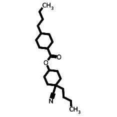 CCCCC1CCC(C(=O)OC2CCC(C#N)(CCCC)CC2)CC1